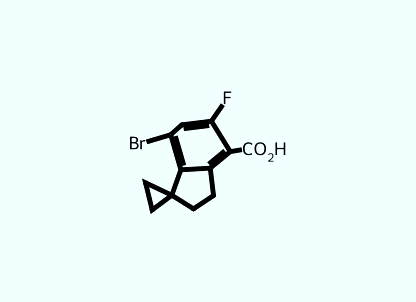 O=C(O)c1c(F)cc(Br)c2c1CCC21CC1